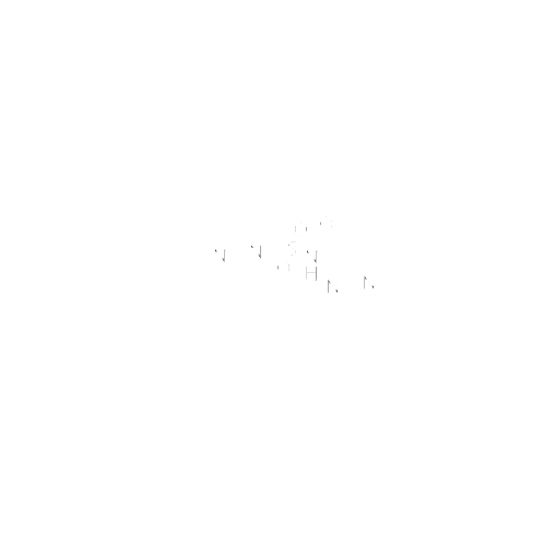 CC1CCN(c2ncccc2C(=O)NS(=O)(=O)c2cccc(N3Cc4ccccc4C3)n2)C1(C)C